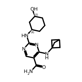 NC(=O)c1cnc(N[C@@H]2CCC[C@H](O)C2)nc1NC12CC(C1)C2